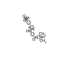 C[C@@H]1CN(C(=O)c2ccc(Nc3nccc(-c4ccc(S(=O)(=O)N5CCCC5)cc4)n3)cc2)C[C@H](C)N1